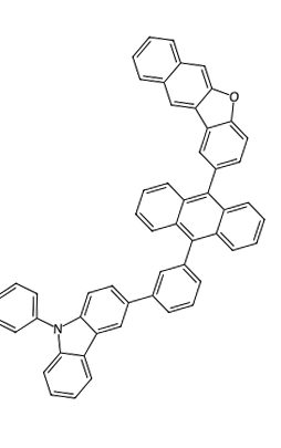 c1ccc(-n2c3ccccc3c3cc(-c4cccc(-c5c6ccccc6c(-c6ccc7oc8cc9ccccc9cc8c7c6)c6ccccc56)c4)ccc32)cc1